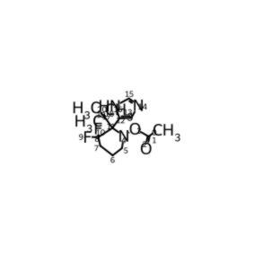 CC(=O)ON1CCCC(F)(F)C1(c1cnc[nH]1)C(C)(C)C